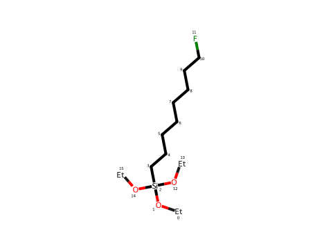 CCO[Si](CCCCCCCCF)(OCC)OCC